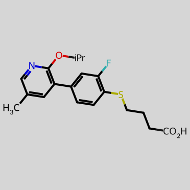 Cc1cnc(OC(C)C)c(-c2ccc(SCCCC(=O)O)c(F)c2)c1